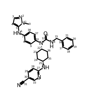 Cn1nccc1Nc1ccc(N(C(=O)NCc2ccccc2)[C@H]2CC[C@H](Nc3ccc(C#N)cn3)CC2)cc1